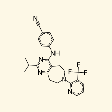 CC(C)c1nc2c(c(Nc3ccc(C#N)cc3)n1)CCN(c1ncccc1C(F)(F)F)CC2